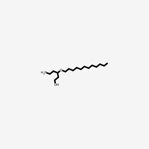 CCCCCCCCCCCCOC(CCN)CCO